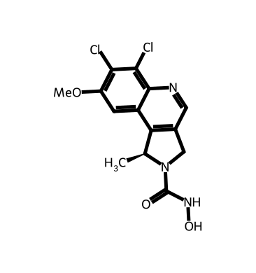 COc1cc2c3c(cnc2c(Cl)c1Cl)CN(C(=O)NO)[C@H]3C